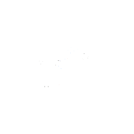 COC(=O)C1CCC(Oc2ncc(NC(=O)c3nnc(Nc4ccc(F)c(Cl)c4)o3)cc2OC)CC1